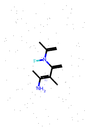 C=C(C)N(F)C(=C)/C(C)=C(\C)N